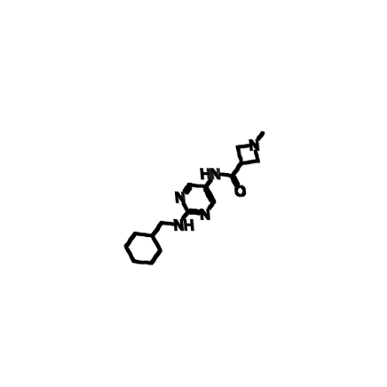 CN1CC(C(=O)Nc2cnc(NCC3CCCCC3)nc2)C1